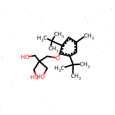 Cc1cc(C(C)(C)C)c(OCC(CO)(CO)CO)c(C(C)(C)C)c1